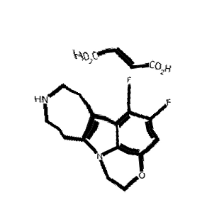 Fc1cc2c3c(c1F)c1c(n3CCO2)CCNCC1.O=C(O)C=CC(=O)O